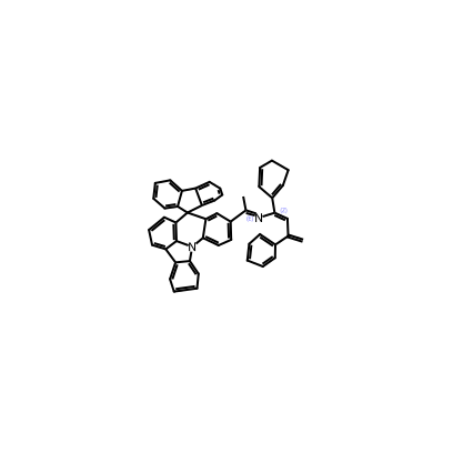 C=C(/C=C(\N=C(/C)c1ccc2c(c1)C1(c3ccccc3-c3ccccc31)c1cccc3c4ccccc4n-2c13)C1=CCCC=C1)c1ccccc1